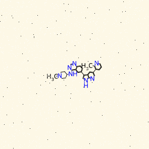 Cc1ncccc1-c1cnc2[nH]cc(-c3ccc4ncnc(NC5CCN(C)CC5)c4c3)c2c1